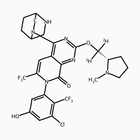 [2H]C([2H])(Oc1nc(N2CC3CCC2CN3)c2cc(C(F)(F)F)n(-c3cc(O)cc(Cl)c3C(F)(F)F)c(=O)c2n1)[C@@H]1CCCN1C